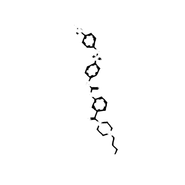 CCCCN1CCN(C(=N)c2cccc(NC(=O)Nc3ccc(S(=O)(=O)Nc4ccc(S(N)(=O)=O)cc4)cc3)c2)CC1